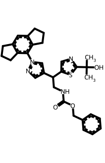 CC(C)(O)c1ncc(C(CNC(=O)OCc2ccccc2)c2cnn(-c3c4c(cc5c3CCC5)CCC4)c2)s1